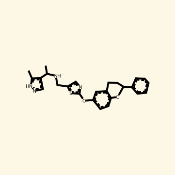 Cc1[nH]ncc1C(C)NCc1cnc(Oc2ccc3c(c2)CCC(c2ccccc2)O3)s1